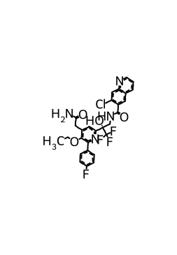 CCOc1c(CC(N)=O)cc([C@@](O)(CNC(=O)c2cc3cccnc3cc2Cl)C(F)(F)F)nc1-c1ccc(F)cc1